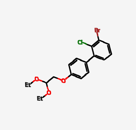 CCOC(COc1ccc(-c2cccc(Br)c2Cl)cc1)OCC